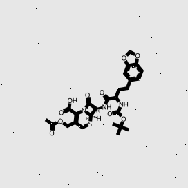 CC(=O)OCC1=C(C(=O)O)N2C(=O)[C@@H](NC(=O)C(CCc3ccc4c(c3)OCO4)NC(=O)OC(C)(C)C)[C@H]2SC1